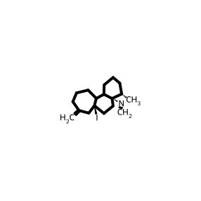 C=N[C@]12CC[C@]3(I)CC(=C)CCCC3C1CCC[C@@H]2C